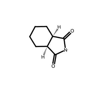 O=C1[N]C(=O)[C@@H]2CCCC[C@H]12